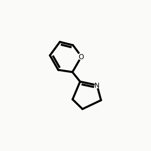 C1=COC(C2=NCCC2)C=C1